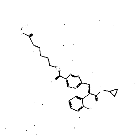 O=C(CCCCCNC(=O)c1ccc(/C=C(/C(=O)NC2CC2)c2ccccc2F)cc1)NO